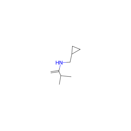 C=C(NCC1CC1)C(C)C